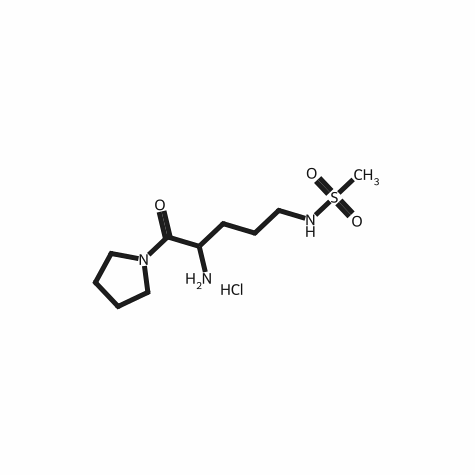 CS(=O)(=O)NCCCC(N)C(=O)N1CCCC1.Cl